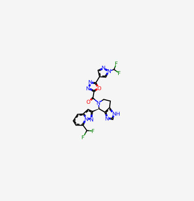 O=C(c1nnc(-c2cnn(C(F)F)c2)o1)N1CCc2[nH]cnc2[C@H]1c1cc2cccc(C(F)F)n2n1